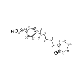 CC(C)(CCCCN1CCCCCC1=O)c1ccc(S(=O)(=O)O)cc1